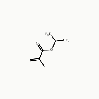 C=C(C)C(=O)OC(C(F)(F)F)C(F)(F)F